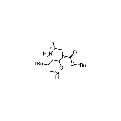 C[C@H](N)CN(C(=O)OC(C)(C)C)C(CCC(C)(C)C)O[SiH](C)C